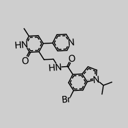 Cc1cc(-c2ccncc2)c(CCNC(=O)c2cc(Br)cc3c2ccn3C(C)C)c(=O)[nH]1